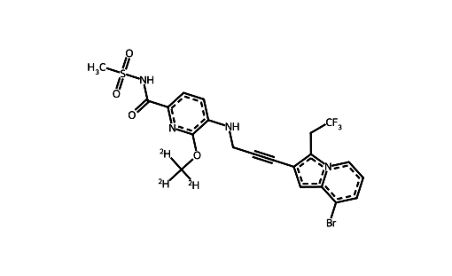 [2H]C([2H])([2H])Oc1nc(C(=O)NS(C)(=O)=O)ccc1NCC#Cc1cc2c(Br)cccn2c1CC(F)(F)F